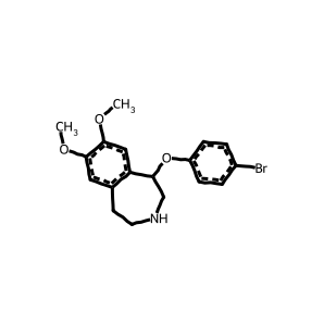 COc1cc2c(cc1OC)C(Oc1ccc(Br)cc1)CNCC2